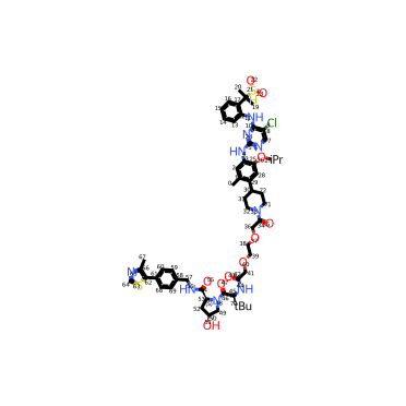 Cc1cc(Nc2ncc(Cl)c(Nc3ccccc3C(C)(C)[SH](=O)=O)n2)c(OC(C)C)cc1C1CCN(C(=O)COCCOCC(=O)N[C@H](C(=O)N2C[C@H](O)C[C@H]2C(=O)NCc2ccc(-c3scnc3C)cc2)C(C)(C)C)CC1